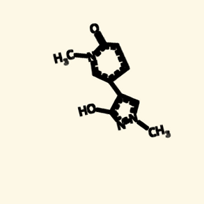 Cn1cc(-c2ccc(=O)n(C)c2)c(O)n1